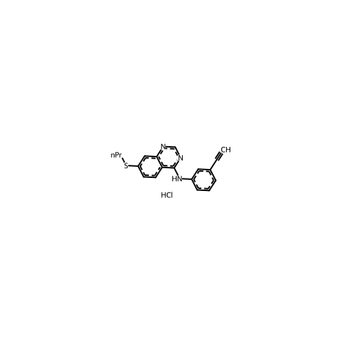 C#Cc1cccc(Nc2ncnc3cc(SCCC)ccc23)c1.Cl